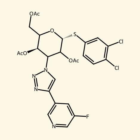 CC(=O)OCC1O[C@H](Sc2ccc(Cl)c(Cl)c2)C(OC(C)=O)C(n2cc(-c3cncc(F)c3)nn2)[C@H]1OC(C)=O